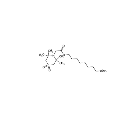 CCCCCCCCCCCCCCCCCCOC(=O)CN1C(C)(C)CS(=O)(=O)CC1(C)C